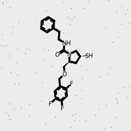 O=C(NCCc1ccccc1)N1C[C@H](S)C[C@H]1COCc1cc(F)c(F)cc1F